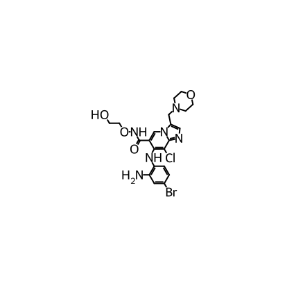 Nc1cc(Br)ccc1Nc1c(C(=O)NOCCO)cn2c(CN3CCOCC3)cnc2c1Cl